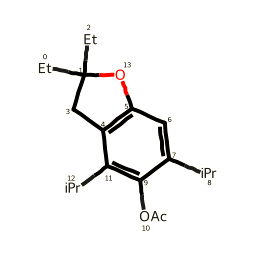 CCC1(CC)Cc2c(cc(C(C)C)c(OC(C)=O)c2C(C)C)O1